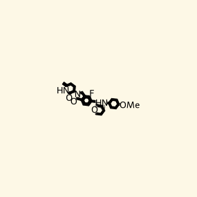 C=C1CCC(N2Cc3c(ccc(C[C@H]4OCCC[C@@H]4NC4CCC(OC)CC4)c3F)C2=O)C(=O)N1